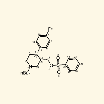 CCCCN1CC[C@H](c2ccc(F)cc2)[C@H](COS(=O)(=O)c2ccccc2)C1